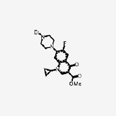 CCN1CCN(c2cc3c(cc2F)c(=O)c(C(=O)OC)cn3C2CC2)CC1